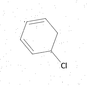 Cl[C]1C=C[C]=CC1